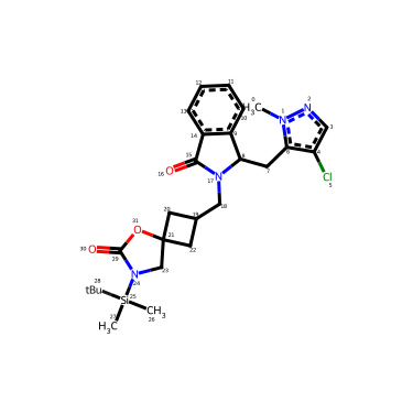 Cn1ncc(Cl)c1CC1c2ccccc2C(=O)N1CC1CC2(C1)CN([Si](C)(C)C(C)(C)C)C(=O)O2